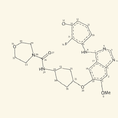 COc1cc2ncnc(Nc3cccc(Cl)c3F)c2cc1OC1CCC(NC(=O)N2CCOCC2)CC1